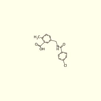 Cc1ccc(CNC(=O)c2ccc(Cl)cc2)cc1C(=O)O